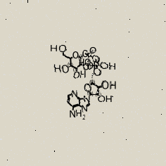 Nc1ccnc2c1ncn2[C@@H]1O[C@H](COP(=O)(O)OP(=O)(O)O[C@@H]2OC(CO)[C@@H](O)[C@H](O)C2O)C(O)[C@@H]1O